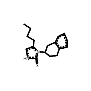 CCCCc1c[nH]c(=S)n1C1CCc2ccccc2C1